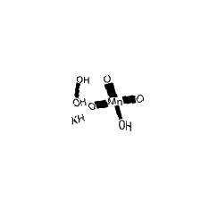 OO.[KH].[O]=[Mn](=[O])(=[O])[OH]